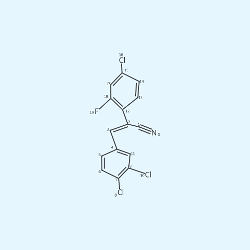 N#CC(=Cc1ccc(Cl)c(Cl)c1)c1ccc(Cl)cc1F